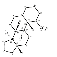 C[C@@]12CCC[C@H]1[C@@H]1CCC3CCCC(C(=O)O)[C@]3(C)[C@H]1CC2